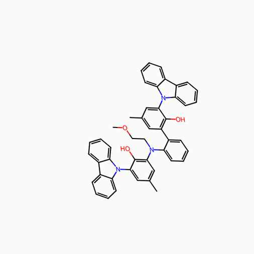 COCCN(c1ccccc1-c1cc(C)cc(-n2c3ccccc3c3ccccc32)c1O)c1cc(C)cc(-n2c3ccccc3c3ccccc32)c1O